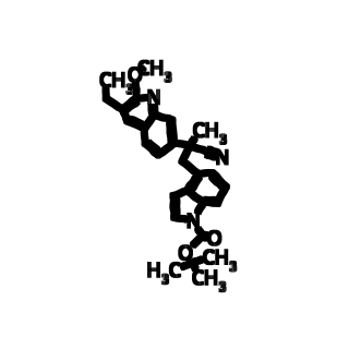 CCc1cc2ccc(C(C)(C#N)Cc3cccc4c3ccn4C(=O)OC(C)(C)C)cc2nc1OC